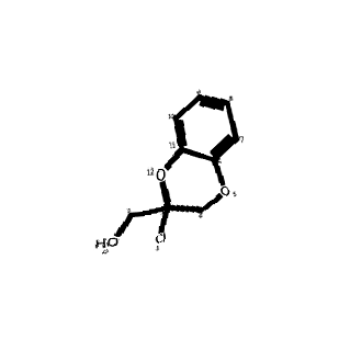 OCC1(Cl)COc2ccccc2O1